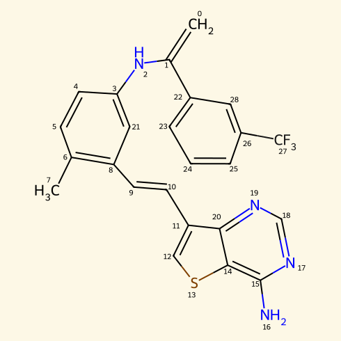 C=C(Nc1ccc(C)c(/C=C/c2csc3c(N)ncnc23)c1)c1cccc(C(F)(F)F)c1